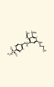 CNc1nc(NCCO)cc(NCc2ccc(S(N)(=O)=O)cc2)c1C=N